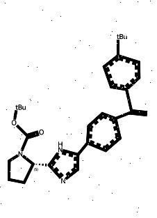 C=C(c1ccc(-c2cnc([C@@H]3CCCN3C(=O)OC(C)(C)C)[nH]2)cc1)c1ccc(C(C)(C)C)cc1